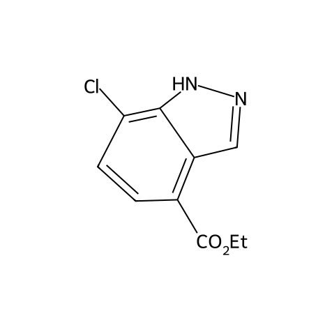 CCOC(=O)c1ccc(Cl)c2[nH]ncc12